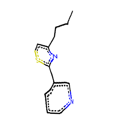 CCCc1csc(-c2cccnc2)n1